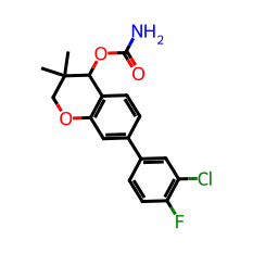 CC1(C)COc2cc(-c3ccc(F)c(Cl)c3)ccc2C1OC(N)=O